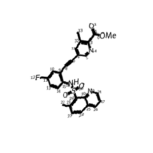 COC(=O)c1ncc(C#Cc2cc(F)ccc2NS(=O)(=O)c2c(C)ccc3cccnc23)cc1C